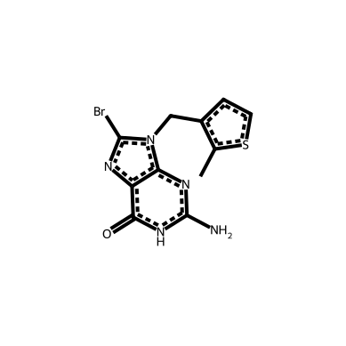 Cc1sccc1Cn1c(Br)nc2c(=O)[nH]c(N)nc21